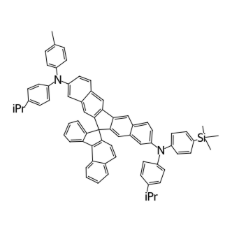 Cc1ccc(N(c2ccc(C(C)C)cc2)c2ccc3cc4c(cc3c2)C2(c3cc5cc(N(c6ccc(C(C)C)cc6)c6ccc([Si](C)(C)C)cc6)ccc5cc3-4)c3ccccc3-c3c2ccc2ccccc32)cc1